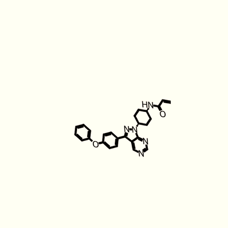 C=CC(=O)N[C@H]1CC[C@@H](n2nc(-c3ccc(Oc4ccccc4)cc3)c3cncnc32)CC1